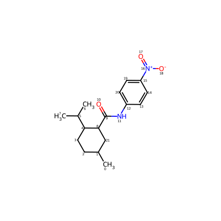 CC1CCC(C(C)C)C(C(=O)Nc2ccc([N+](=O)[O-])cc2)C1